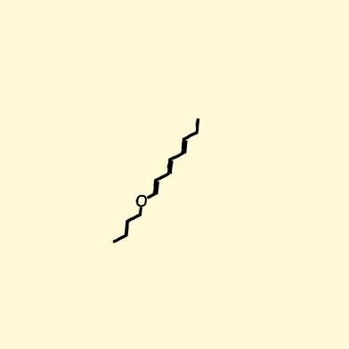 CCC=CC=CC=COCCCC